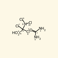 NC(N)=O.O=C(O)C(Cl)(Cl)N(Cl)Cl